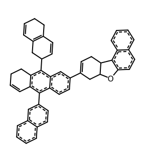 C1=CC2=C(C=CC(c3c4c(c(-c5ccc6ccccc6c5)c5ccc(C6=CCC7c8c(ccc9ccccc89)OC7C6)cc35)C=CCC4)C2)CC1